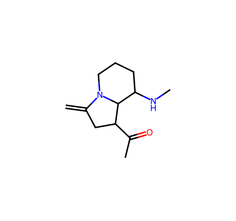 C=C1CC(C(C)=O)C2C(NC)CCCN12